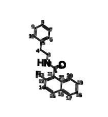 O=C(NCCc1ccccc1)c1c(F)ccc2ccccc12